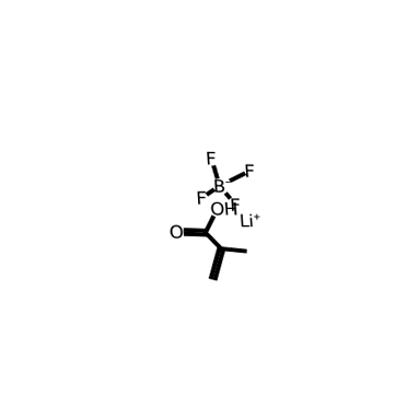 C=C(C)C(=O)O.F[B-](F)(F)F.[Li+]